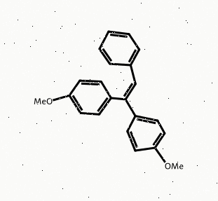 COc1ccc(C(=Cc2ccccc2)c2ccc(OC)cc2)cc1